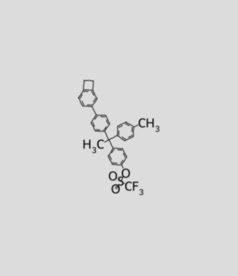 Cc1ccc(C(C)(c2ccc(OS(=O)(=O)C(F)(F)F)cc2)c2ccc(-c3ccc4c(c3)CC4)cc2)cc1